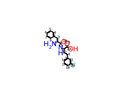 N[C@@H](Cc1ccccc1)C(=O)NC(CCc1cccc(F)c1)C(=O)O